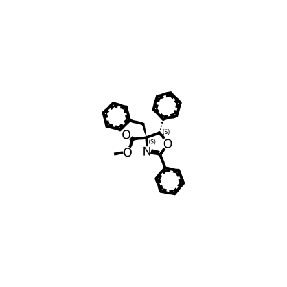 COC(=O)[C@@]1(Cc2ccccc2)N=C(c2ccccc2)O[C@H]1c1ccccc1